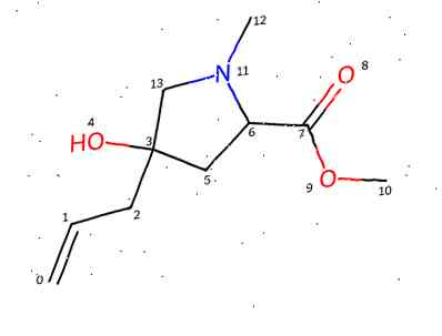 C=CCC1(O)CC(C(=O)OC)N(C)C1